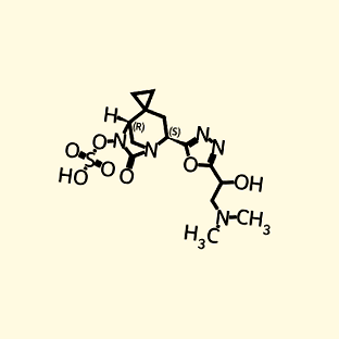 CN(C)CC(O)c1nnc([C@@H]2CC3(CC3)[C@@H]3CN2C(=O)N3OS(=O)(=O)O)o1